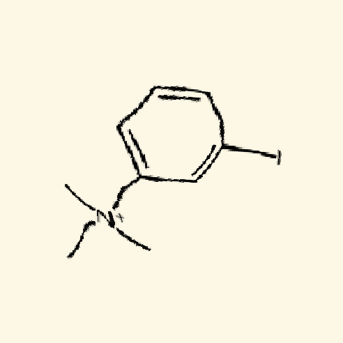 C[N+](C)(C)c1cccc(I)c1